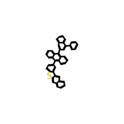 c1ccc(-c2cc(-c3c4ccccc4c(-c4ccc5sc6cc7ccccc7cc6c5c4)c4ccccc34)cc3ccccc23)cc1